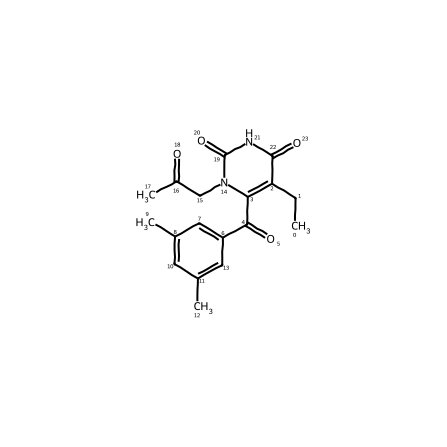 CCc1c(C(=O)c2cc(C)cc(C)c2)n(CC(C)=O)c(=O)[nH]c1=O